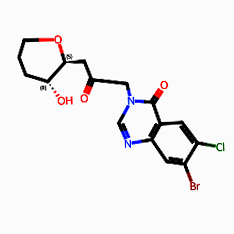 O=C(C[C@@H]1OCCC[C@H]1O)Cn1cnc2cc(Br)c(Cl)cc2c1=O